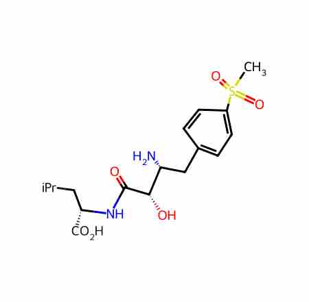 CC(C)C[C@H](NC(=O)[C@@H](O)[C@H](N)Cc1ccc(S(C)(=O)=O)cc1)C(=O)O